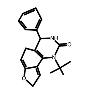 CC(C)(C)N1C(=O)NC(c2ccccc2)C2=C1C1=CCOC1=CC2